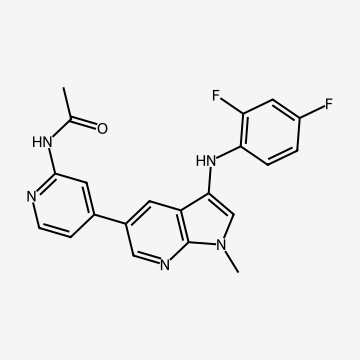 CC(=O)Nc1cc(-c2cnc3c(c2)c(Nc2ccc(F)cc2F)cn3C)ccn1